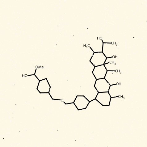 COC(O)C1CCC(COCC2CCC(C3CCC(C)C4C(O)C5C(CC34)CC3CC(C)C(C(C)O)C(O)C3(C)C5C)CC2)CC1